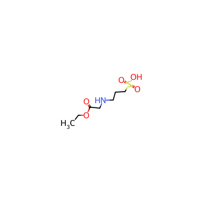 CCOC(=O)CNCCCS(=O)(=O)O